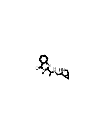 CC(NCC1NCC2CC21)c1nc2ccccc2c(=O)n1C